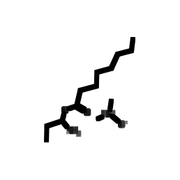 CCCCCCCC(=O)OC(N)CC.C[NH+](C)[O-]